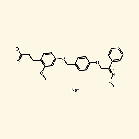 CO/N=C(\COc1ccc(COc2ccc(CCC(=O)[O-])c(OC)c2)cc1)c1ccccc1.[Na+]